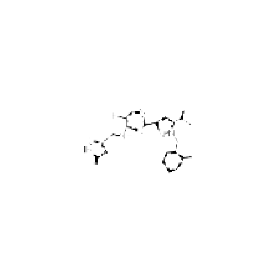 CC(=O)c1cc(-c2ncc(F)c(NCc3cc(=O)[nH]o3)n2)nn1Cc1ccccc1F